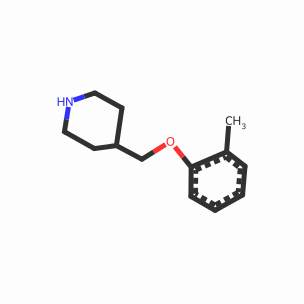 Cc1ccccc1OCC1CCNCC1